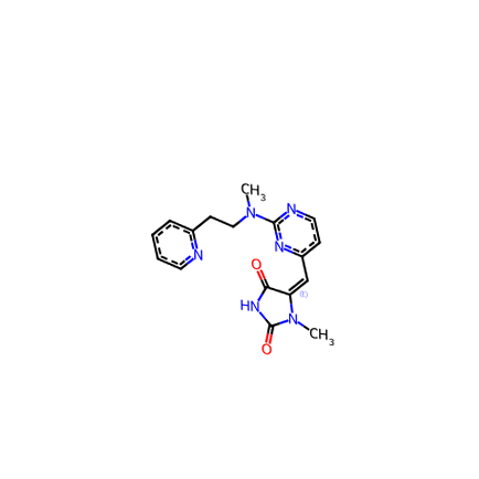 CN1C(=O)NC(=O)/C1=C\c1ccnc(N(C)CCc2ccccn2)n1